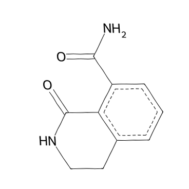 NC(=O)c1cccc2c1C(=O)NCC2